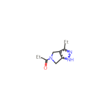 CCC(=O)N1Cc2[nH]nc(CC)c2C1